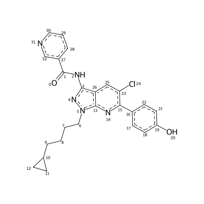 O=C(Nc1nn(CCCCC2CC2)c2nc(-c3ccc(O)cc3)c(Cl)cc12)c1cccnc1